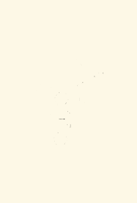 Cc1c(CC[C@@H]2C[C@@H](O)CC(=O)O2)c2c(c(C)c1NC(=O)Nc1ccccc1)CC(C)(C)O2